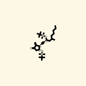 C=C1C(=O)C[C@@H](O[Si](C)(C)C(C)(C)C)[C@@H]1C#C[C@H](CC(C)CCCCC)O[Si](C)(C)C(C)(C)C